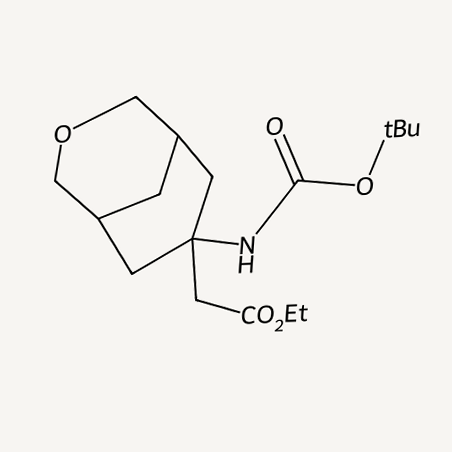 CCOC(=O)CC1(NC(=O)OC(C)(C)C)CC2COCC(C2)C1